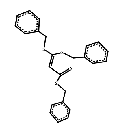 S=C(C=C(SCc1ccccc1)SCc1ccccc1)SCc1ccccc1